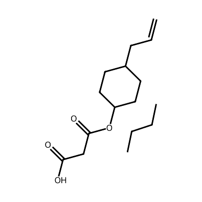 C=CCC1CCC(OC(=O)CC(=O)O)CC1.CCCC